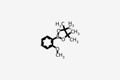 COc1c[c]ccc1B1OC(C)(C)C(C)(C)O1